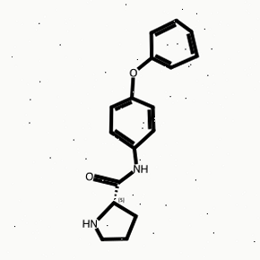 O=C(Nc1ccc(Oc2ccccc2)cc1)[C@@H]1CCCN1